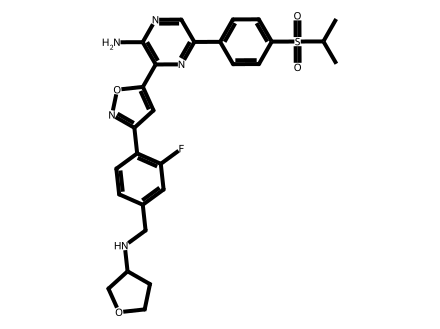 CC(C)S(=O)(=O)c1ccc(-c2cnc(N)c(-c3cc(-c4ccc(CNC5CCOC5)cc4F)no3)n2)cc1